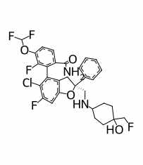 NC(=O)c1ccc(OC(F)F)c(F)c1-c1c(Cl)c(F)cc2c1C[C@@](CNC1CCC(O)(CF)CC1)(c1ccccc1)O2